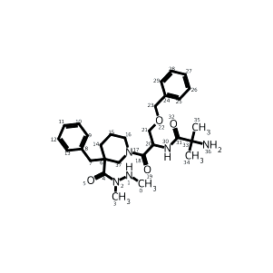 CNN(C)C(=O)C1(Cc2ccccc2)CCCN(C(=O)C(COCc2ccccc2)NC(=O)C(C)(C)N)C1